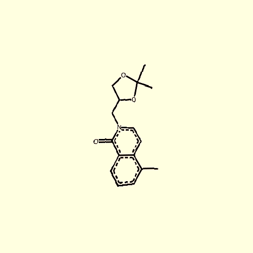 Cc1cccc2c(=O)n(CC3COC(C)(C)O3)ccc12